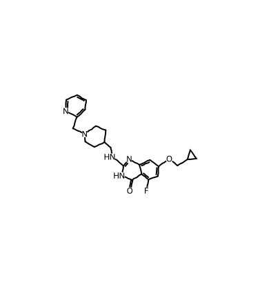 O=c1[nH]c(NCC2CCN(Cc3ccccn3)CC2)nc2cc(OCC3CC3)cc(F)c12